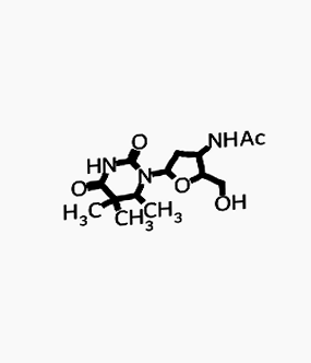 CC(=O)NC1CC(N2C(=O)NC(=O)C(C)(C)C2C)OC1CO